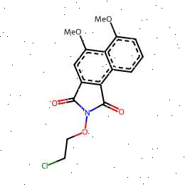 COc1cccc2c3c(cc(OC)c12)C(=O)N(OCCCl)C3=O